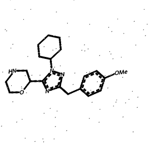 COc1ccc(Cc2nc(C3CNCCO3)n(C3CCCCC3)n2)cc1